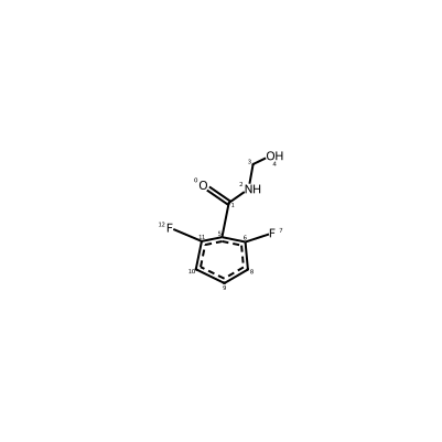 O=C(NCO)c1c(F)cccc1F